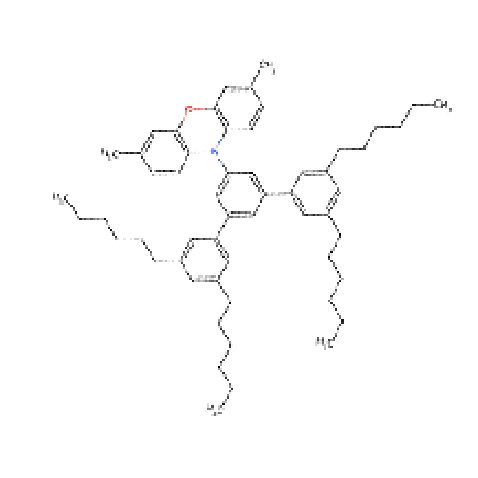 CCCCCCc1cc(CCCCCC)cc(-c2cc(-c3cc(CCCCCC)cc(CCCCCC)c3)cc(N3c4ccc(C)cc4Oc4cc(C)ccc43)c2)c1